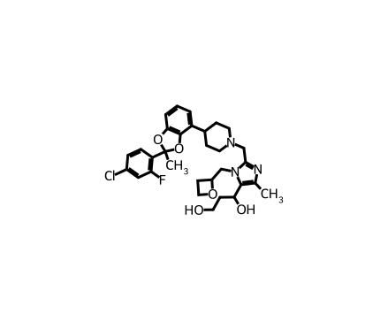 Cc1nc(CN2CCC(c3cccc4c3OC(C)(c3ccc(Cl)cc3F)O4)CC2)n(CC2CCO2)c1C(O)CCO